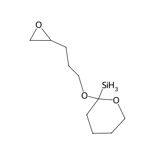 [SiH3]C1(OCCCC2CO2)CCCCO1